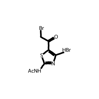 Br.CC(=O)Nc1nc(C)c(C(=O)CBr)s1